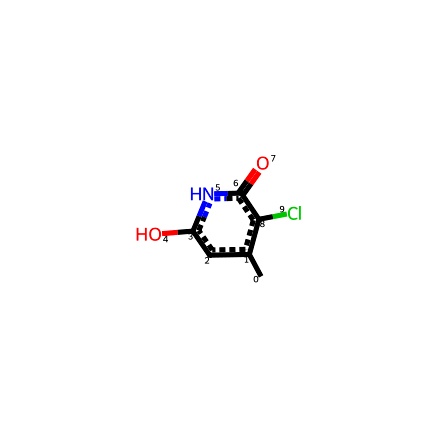 Cc1cc(O)[nH]c(=O)c1Cl